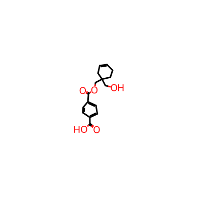 O=C(O)c1ccc(C(=O)OCC2(CO)CC=CCC2)cc1